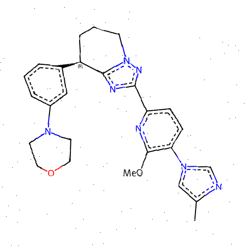 COc1nc(-c2nc3n(n2)CCC[C@@H]3c2cccc(N3CCOCC3)c2)ccc1-n1cnc(C)c1